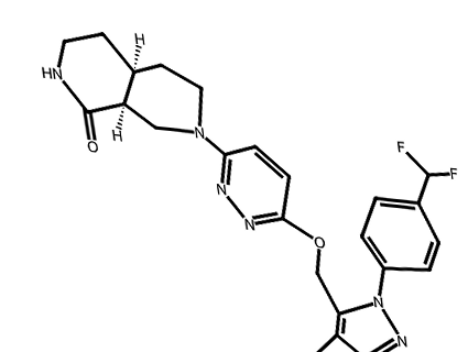 Cc1nnn(-c2ccc(C(F)F)cc2)c1COc1ccc(N2CC[C@@H]3CCNC(=O)[C@@H]3C2)nn1